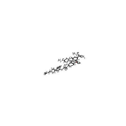 C=c1ccc2c(c1)Oc1cc(N(C)C)ccc1C=2c1cc(C(=O)NCc2cn(-c3ccc(C#CC#N)cc3)nn2)ccc1C(=O)O